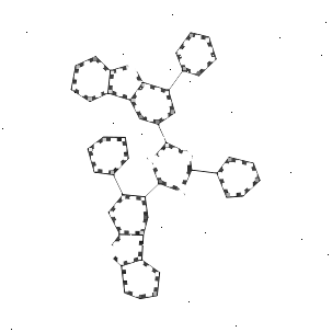 c1ccc(-c2nc(-c3cc(-c4ccccc4)c4oc5ccccc5c4c3)nc(-c3cc4c(cc3-c3ccccc3)oc3ccccc34)n2)cc1